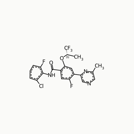 Cc1cncc(-c2cc(O[C@@H](C)C(F)(F)F)c(C(=O)Nc3c(F)cccc3Cl)cc2F)n1